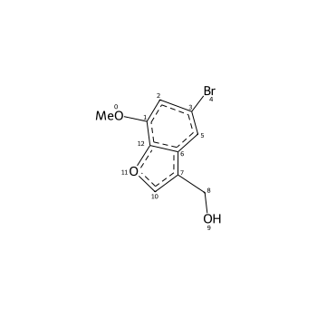 COc1cc(Br)cc2c(CO)coc12